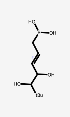 CC(C)(C)C(O)C(O)/C=C/CB(O)O